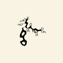 O=C(N[C@H](Cc1ccc(-c2ccccc2)cc1)C[C@H](O)C(=O)O)c1cc(C(=O)O)[nH]n1